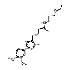 CCOCCCNC(=O)CSCc1nc(-c2ccc(OC)c(OC)c2)oc1C